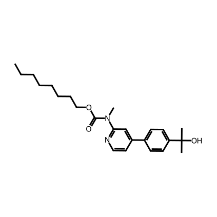 CCCCCCCCOC(=O)N(C)c1cc(-c2ccc(C(C)(C)O)cc2)ccn1